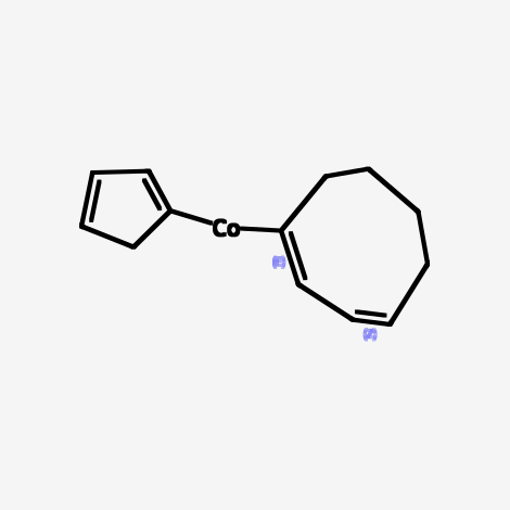 C1=CC[C]([Co]/[C]2=C/C=C\CCCC2)=C1